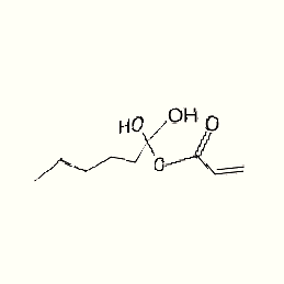 C=CC(=O)OC(O)(O)CCCCC